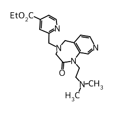 CCOC(=O)c1ccnc(CN2CC(=O)N(CCN(C)C)c3cnccc3C2)c1